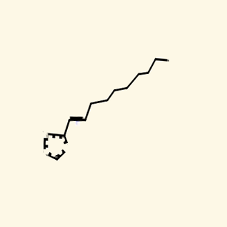 CCCCCCCCCCCCCCC/C=C/c1nnco1